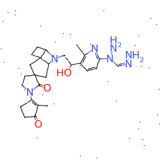 CC1=C(N2CCC3(CC4N(CC(O)c5ccc(N(N)/C=N\N)nc5C)C5CCC54C3)C2=O)CCC1=O